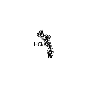 COc1cc2c(cc1OC)CC(=O)N(CC1CCCN(CCCc3ccc(Br)cc3)C1)CC2.Cl